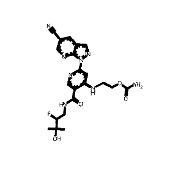 CC(C)(O)C(F)CNC(=O)c1cnc(-n2ncc3cc(C#N)cnc32)cc1NCCOC(N)=O